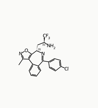 Cc1noc2c1-c1ccccc1C(c1ccc(Cl)cc1)=N[C@H]2C[C@H](N)C(F)(F)F